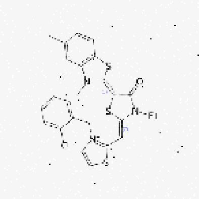 CCn1c(=O)/c(=C2\Sc3ccc(C)cc3N2C)s/c1=C\c1scc[n+]1Cc1ccccc1Cl